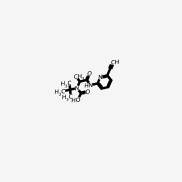 C#Cc1cccc(NC(=O)C(C)N(C(=O)O)C(C)(C)C)n1